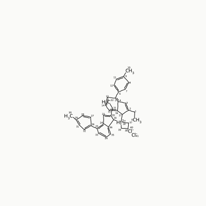 CCC1=Cc2c(-c3ccc(C)cc3)cccc2[CH]1[Hf+2]1([CH]2C(CC)=Cc3c(-c4ccc(C)cc4)cccc32)[CH2]C[CH2]1.[Cl-].[Cl-]